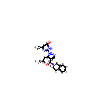 Cc1cc(=O)[nH]c(-n2ncc(C(=O)N3CCc4ccccc4C3)c2CC(C)C)n1